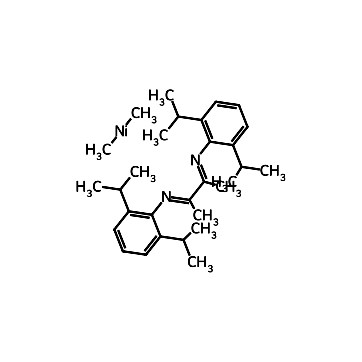 CC(=Nc1c(C(C)C)cccc1C(C)C)C(C)=Nc1c(C(C)C)cccc1C(C)C.[CH3][Ni][CH3]